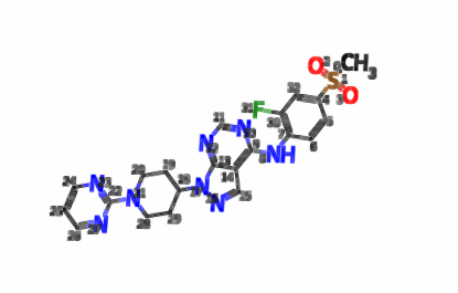 CS(=O)(=O)c1ccc(Nc2ncnc3c2cnn3C2CCN(c3ncccn3)CC2)c(F)c1